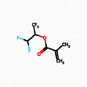 C=C(C)C(=O)OC(C(F)F)C(F)(F)F